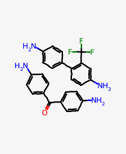 Nc1ccc(-c2ccc(N)cc2C(F)(F)F)cc1.Nc1ccc(C(=O)c2ccc(N)cc2)cc1